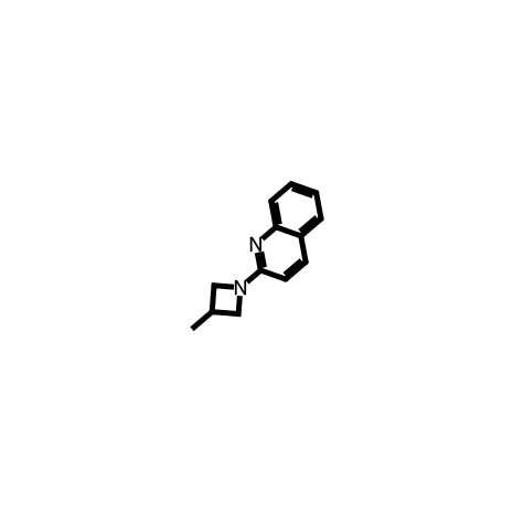 CC1CN(c2ccc3ccccc3n2)C1